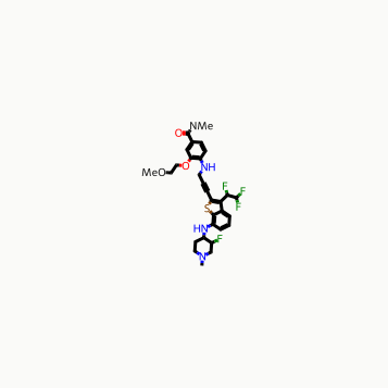 CNC(=O)c1ccc(NCC#Cc2sc3c(NC4CCN(C)CC4F)cccc3c2C(F)C(F)F)c(OCCOC)c1